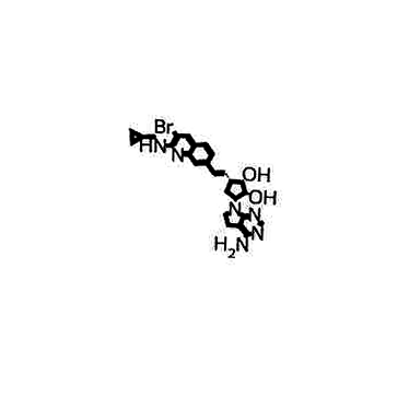 Nc1ncnc2c1CCN2[C@@H]1C[C@H](/C=C/c2ccc3cc(Br)c(NCC4CC4)nc3c2)[C@@H](O)[C@H]1O